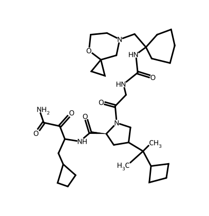 CC(C)(C1CCC1)C1C[C@@H](C(=O)NC(CC2CCC2)C(=O)C(N)=O)N(C(=O)CNC(=O)NC2(CN3CCOC4(CC4)C3)CCCCC2)C1